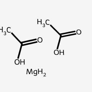 CC(=O)O.CC(=O)O.[MgH2]